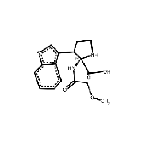 COCC(=O)N[C@]1(C(=O)O)NCCC1c1csc2ccccc12